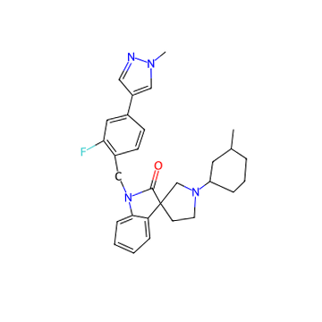 CC1CCCC(N2CCC3(C2)C(=O)N(Cc2ccc(-c4cnn(C)c4)cc2F)c2ccccc23)C1